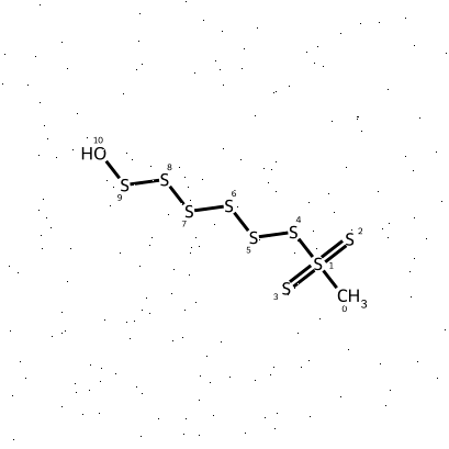 CS(=S)(=S)SSSSSSO